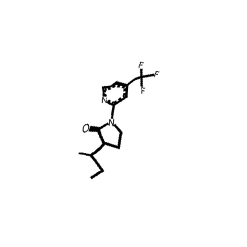 CCC(C)C1CCN(c2cc(C(F)(F)F)ccn2)C1=O